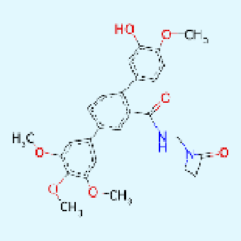 COc1ccc(-c2ccc(-c3cc(OC)c(OC)c(OC)c3)cc2C(=O)NCN2CCC2=O)cc1O